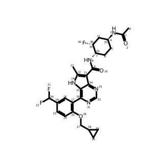 CC(=O)N[C@H]1CC[C@H](NC(=O)c2c(C)[nH]c3c(-c4cc(C(F)F)ccc4OCC4CC4)ncnc23)[C@H](F)C1